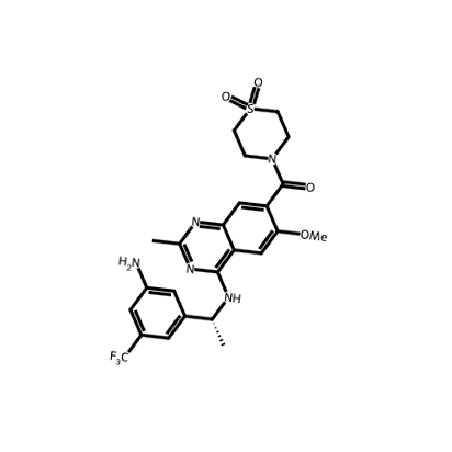 COc1cc2c(N[C@H](C)c3cc(N)cc(C(F)(F)F)c3)nc(C)nc2cc1C(=O)N1CCS(=O)(=O)CC1